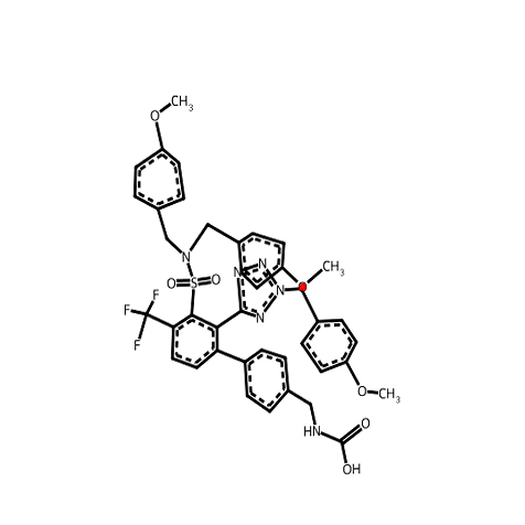 COc1ccc(CN(Cc2ccc(OC)cc2)S(=O)(=O)c2c(C(F)(F)F)ccc(-c3ccc(CNC(=O)O)cc3)c2-c2nnn(Cc3ccc(OC)cc3)n2)cc1